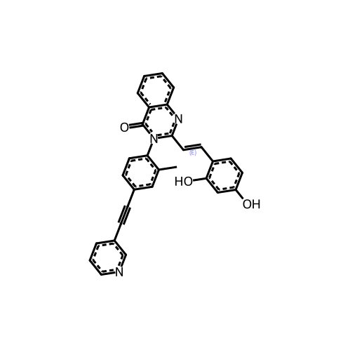 Cc1cc(C#Cc2cccnc2)ccc1-n1c(/C=C/c2ccc(O)cc2O)nc2ccccc2c1=O